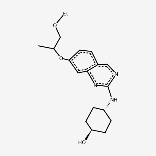 CCOCC(C)Oc1ccc2cnc(N[C@H]3CC[C@H](O)CC3)nc2c1